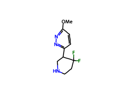 COc1ccc(C2CNCCC2(F)F)nn1